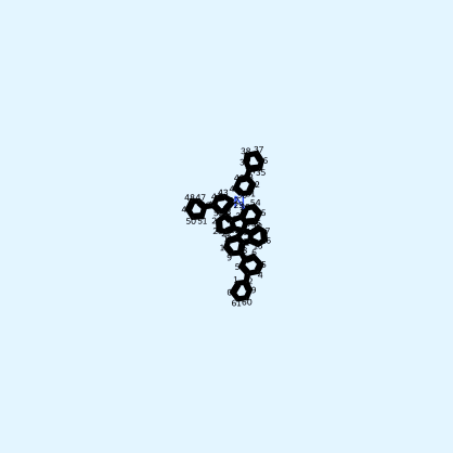 C1=CC(c2cccc(-c3cccc4c3-c3ccccc3C43c4ccccc4-c4c(N(c5ccc(-c6ccccc6)cc5)c5ccc(-c6ccccc6)cc5)cccc43)c2)=CCC1